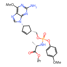 COc1ccc(OP(=O)(N[C@@H](C)C(=O)OC(C)C)OC[C@@H]2C=C[C@H](n3cnc4c(OC)nc(N)nc43)C2)cc1